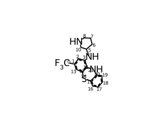 FC(F)(F)c1cc(NC2CCCNC2)c2c(c1)Sc1ccccc1N2